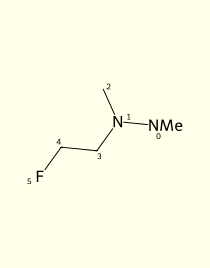 CNN(C)CCF